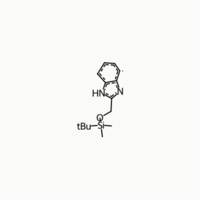 CC(C)(C)[Si](C)(C)OCc1nc2[c]cccc2[nH]1